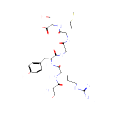 CSCC[C@H](NC(=O)[C@H](C)NC(=O)[C@H](Cc1ccc(O)cc1)NC(=O)[C@H](CCCNC(=N)N)NC(=O)[C@@H](N)CO)C(=O)N[C@@H](CO)C(=O)O